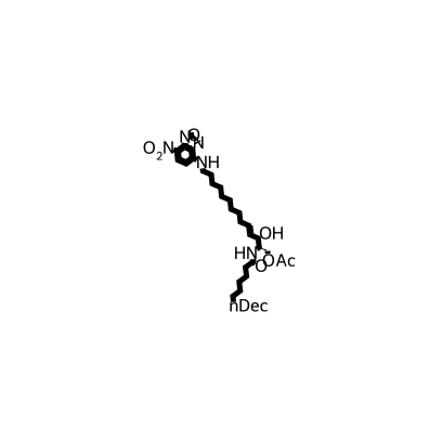 CCCCCCCCCCCCCCCC(=O)N[C@@H](COC(C)=O)[C@H](O)/C=C/CCCCCCCCCNc1ccc([N+](=O)[O-])c2nonc12